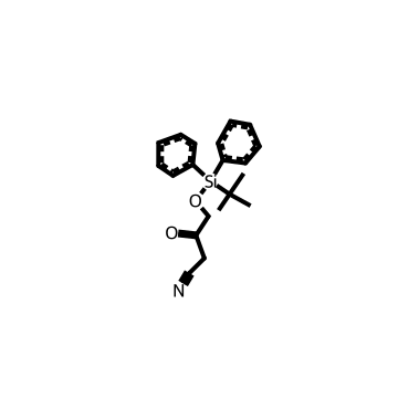 CC(C)(C)[Si](OCC(=O)CC#N)(c1ccccc1)c1ccccc1